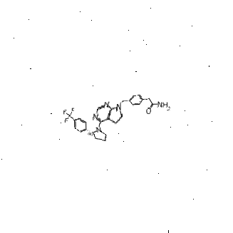 NC(=O)Cc1ccc(CN2CCc3c2ncnc3N2CCC[C@@H]2c2ccc(C(F)(F)F)cc2)cc1